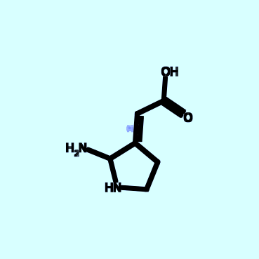 NC1NCC/C1=C\C(=O)O